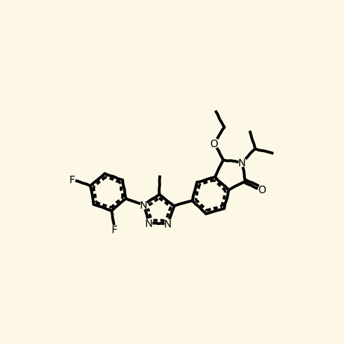 CCOC1c2cc(-c3nnn(-c4ccc(F)cc4F)c3C)ccc2C(=O)N1C(C)C